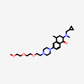 COCCOCCOCCN1CCN(c2ccc3c(c2)C(C)CC(N(C)CC2CC2)C3=O)CC1